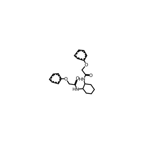 O=C(COc1ccccc1)NC1CCCCC1NC(=O)COc1ccccc1